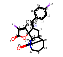 COC1=C(I)C(=O)OC12/C(=C/c1ccc(I)cc1)CC1CCCCN3C(=O)CCC132